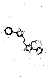 CCn1c(SCc2cc(-c3ccccc3)on2)nnc1-c1cccs1